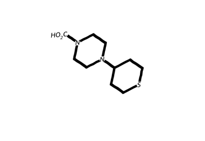 O=C(O)N1CCN(C2CCSCC2)CC1